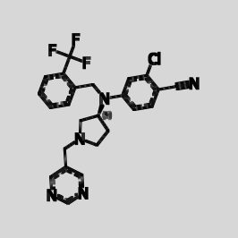 N#Cc1ccc(N(Cc2ccccc2C(F)(F)F)[C@H]2CCN(Cc3cncnc3)C2)cc1Cl